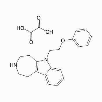 O=C(O)C(=O)O.c1ccc(OCCn2c3c(c4ccccc42)CCNCC3)cc1